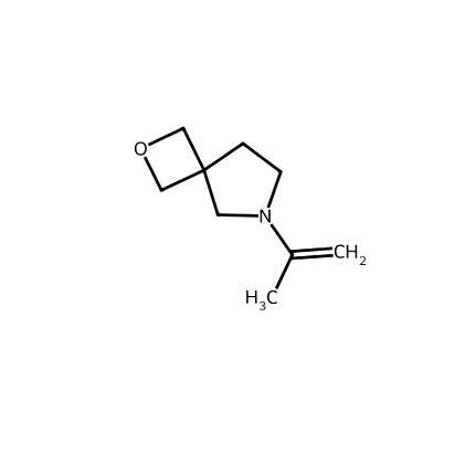 C=C(C)N1CCC2(COC2)C1